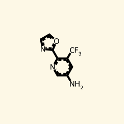 Nc1cnc(-c2ncco2)c(C(F)(F)F)c1